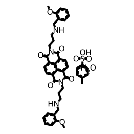 COc1ccccc1CNCCCN1C(=O)c2ccc3c4c(ccc(c24)C1=O)C(=O)N(CCCNCc1ccccc1OC)C3=O.Cc1ccc(S(=O)(=O)O)cc1.O